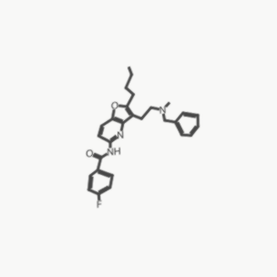 CCCCc1oc2ccc(NC(=O)c3ccc(F)cc3)nc2c1CCN(C)Cc1ccccc1